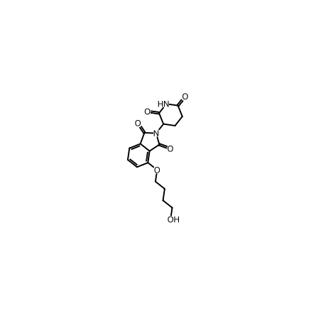 O=C1CCC(N2C(=O)c3cccc(OCCCCO)c3C2=O)C(=O)N1